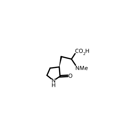 CNC(C[C@@H]1CCNC1=O)C(=O)O